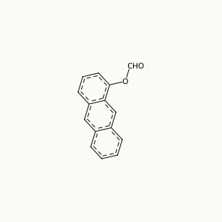 O=COc1cccc2cc3ccccc3cc12